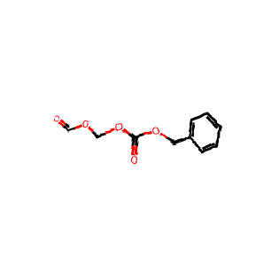 O=[C]OCOC(=O)OCc1ccccc1